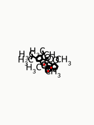 COc1cccc(OC)c1C(=O)P(=O)(C(=O)c1c(C(C)C)cc(C(C)C)cc1C(C)C)c1ccccc1